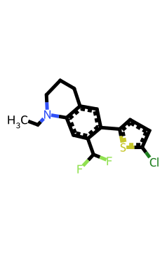 CCN1CCCc2cc(-c3ccc(Cl)s3)c(C(F)F)cc21